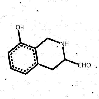 O=CC1Cc2cccc(O)c2CN1